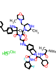 CN[C@@H](C)C(=O)N[C@H](C(=O)N1Cc2ccc(NC(=O)CN(C(=O)CN3C[C@@H](C)NC[C@@H]3CN3CCOC[C@H]3C)C(=O)[C@@]3(C)CNc4cc(Cc5ccc(F)cc5)ccc43)cc2[C@H]1C(=O)Nc1c(F)cccc1F)C1CCOCC1.Cl.Cl.Cl